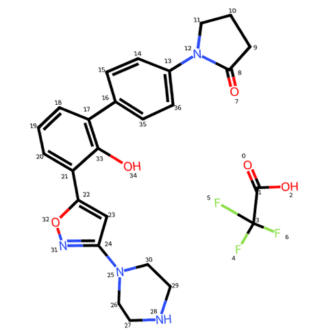 O=C(O)C(F)(F)F.O=C1CCCN1c1ccc(-c2cccc(-c3cc(N4CCNCC4)no3)c2O)cc1